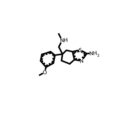 CNCC1(c2cccc(OC)c2)CCc2nc(N)sc2C1